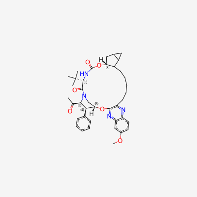 COc1ccc2nc3c(nc2c1)O[C@H]1CN(C(=O)[C@H](C(C)(C)C)NC(=O)O[C@@H]2CC4CC4C2CCCCC3)[C@H](C(C)=O)[C@@H]1c1ccccc1